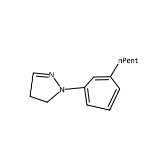 CCCCCc1cccc(N2CCC=N2)c1